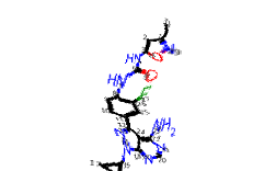 Cc1cc(NC(=O)Nc2ccc(-c3nn(C4CC4)c4ncnc(N)c34)cc2F)on1